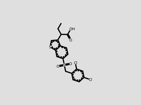 CCC(C(=O)O)c1csc2cc(S(=O)(=O)Cc3ccc(Cl)cc3Cl)ccc12